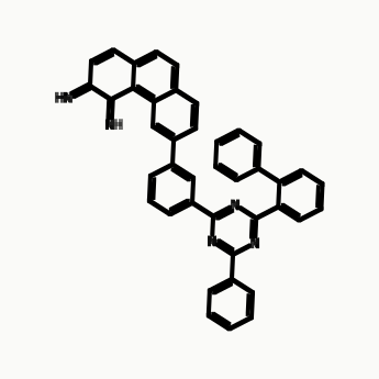 N=C1C=Cc2ccc3ccc(-c4cccc(-c5nc(-c6ccccc6)nc(-c6ccccc6-c6ccccc6)n5)c4)cc3c2C1=N